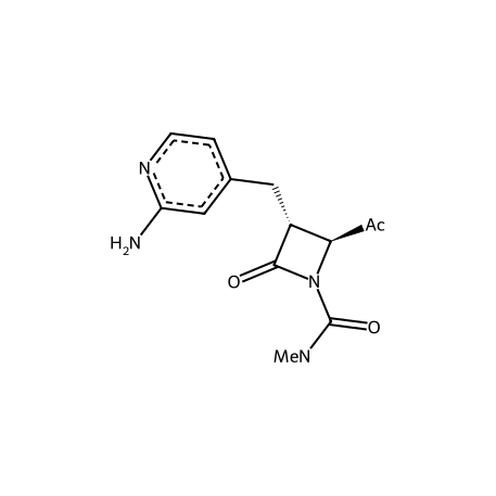 CNC(=O)N1C(=O)[C@H](Cc2ccnc(N)c2)[C@H]1C(C)=O